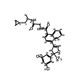 CC(CC1CC1)NC(=O)CNC(=O)c1ccc(C2=NOC(c3cc(Cl)cc(Cl)c3)(C(F)(F)F)C2)c2ccccc12